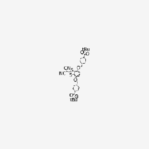 CC(C)(C)OC(=O)C1CCC(COc2ccc(OCC3CCC(C(=O)OC(C)(C)C)CC3)c3c2SC(=C(C#N)C#N)S3)CC1